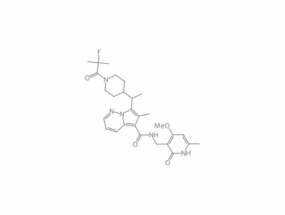 COc1cc(C)[nH]c(=O)c1CNC(=O)c1c(C)c(C(C)C2CCN(C(=O)C(C)(C)F)CC2)n2ncccc12